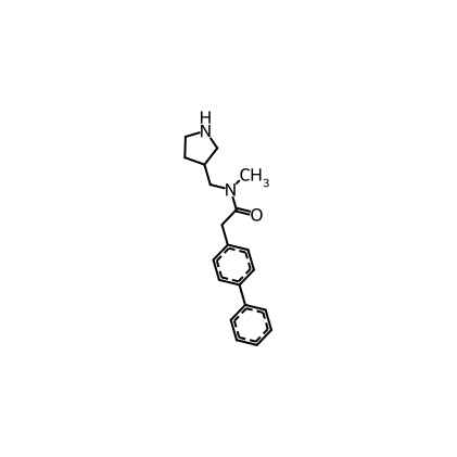 CN(CC1CCNC1)C(=O)Cc1ccc(-c2ccccc2)cc1